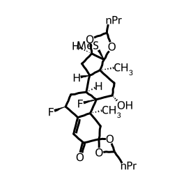 CCCC1OC2(C[C@@]3(C)C(=CC2=O)[C@@H](F)C[C@H]2[C@@H]4C[C@H]5OC(CCC)O[C@]5(SC)[C@@]4(C)C[C@H](O)[C@@]23F)O1